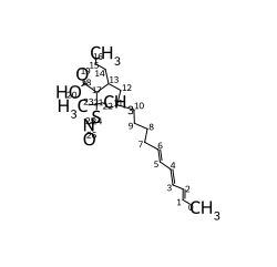 CC=CC=CC=CCCCCCCC(CCC)C(C(=O)O)C(C)(C)SN=O